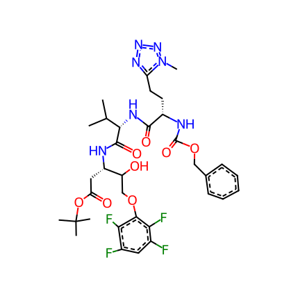 CC(C)[C@H](NC(=O)[C@H](CCc1nnnn1C)NC(=O)OCc1ccccc1)C(=O)N[C@@H](CC(=O)OC(C)(C)C)C(O)COc1c(F)c(F)cc(F)c1F